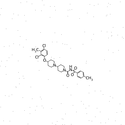 Cc1ccc(S(=O)(=O)NC(=O)N2CCC(N3CCC(Oc4ccc(Cl)c(C)c4Cl)CC3)CC2)cc1